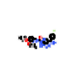 COc1ccc(CNC(=O)Nc2cc(N)c(C(=N)c3ccc(F)cc3)cn2)cc1OC